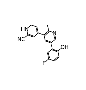 Cc1ncc(-c2cc(F)ccc2O)cc1C1=CCNC(C#N)=C1